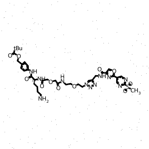 CC(C)(C)C(=O)OCc1ccc(NC(=O)[C@H](CCCCN)NC(=O)COCC(=O)NCCOCCn2cc(CNC(=O)c3coc(-c4cnc(S(C)(=O)=O)nc4)n3)nn2)cc1